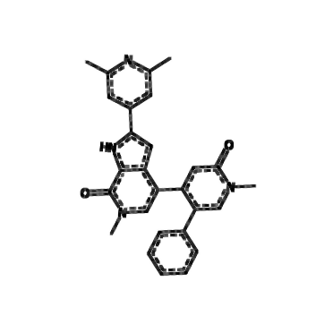 Cc1cc(-c2cc3c(-c4cc(=O)n(C)cc4-c4ccccc4)cn(C)c(=O)c3[nH]2)cc(C)n1